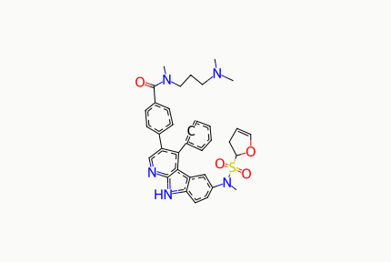 CN(C)CCCN(C)C(=O)c1ccc(-c2cnc3[nH]c4ccc(N(C)S(=O)(=O)C5CC=CO5)cc4c3c2-c2ccccc2)cc1